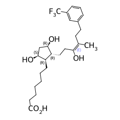 C/C(CCc1cccc(C(F)(F)F)c1)=C(\O)CC[C@@H]1[C@@H](CCCCCCC(=O)O)[C@@H](O)C[C@H]1O